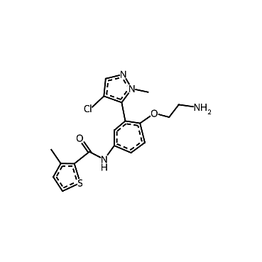 Cc1ccsc1C(=O)Nc1ccc(OCCN)c(-c2c(Cl)cnn2C)c1